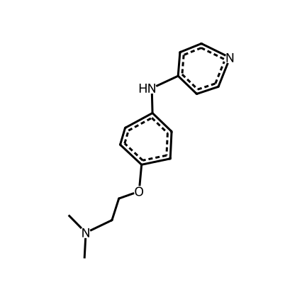 CN(C)CCOc1ccc(Nc2ccncc2)cc1